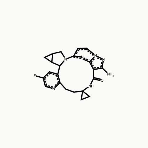 Nc1nn2ccc3nc2c1C(=O)NC1(CCc2ncc(F)cc2C2C4CC4CN32)CC1